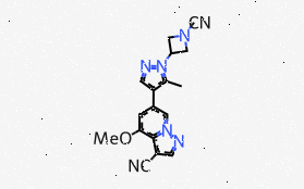 COc1cc(-c2cnn(C3CN(C#N)C3)c2C)cn2ncc(C#N)c12